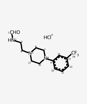 Cl.O=CNCCN1CCN(c2cccc(C(F)(F)F)c2)CC1